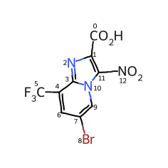 O=C(O)c1nc2c(C(F)(F)F)cc(Br)cn2c1[N+](=O)[O-]